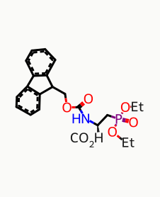 CCOP(=O)(C[C@H](NC(=O)OCC1c2ccccc2-c2ccccc21)C(=O)O)OCC